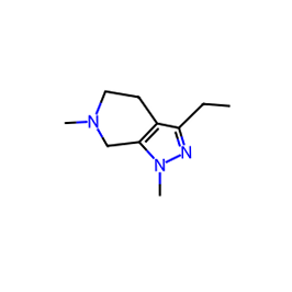 CCc1nn(C)c2c1CCN(C)C2